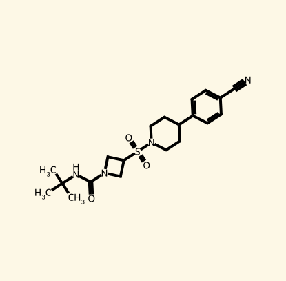 CC(C)(C)NC(=O)N1CC(S(=O)(=O)N2CCC(c3ccc(C#N)cc3)CC2)C1